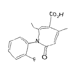 Cc1cc(=O)n(-c2ccccc2F)c(C)c1C(=O)O